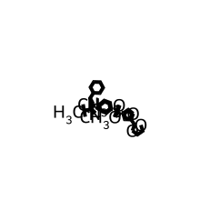 CC(C)(C)c1nc2cc(S(=O)(=O)c3coc(C4OCCO4)c3)ccc2n1CC1CCCCC1